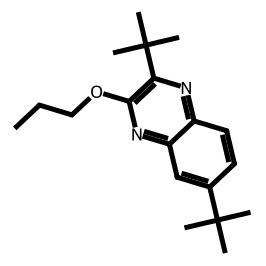 CCCOc1nc2cc(C(C)(C)C)ccc2nc1C(C)(C)C